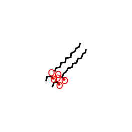 CCCCCCCCCCCC(=O)OC(=O)CC.CCCCCCCCCCCC(=O)OC(=O)CC